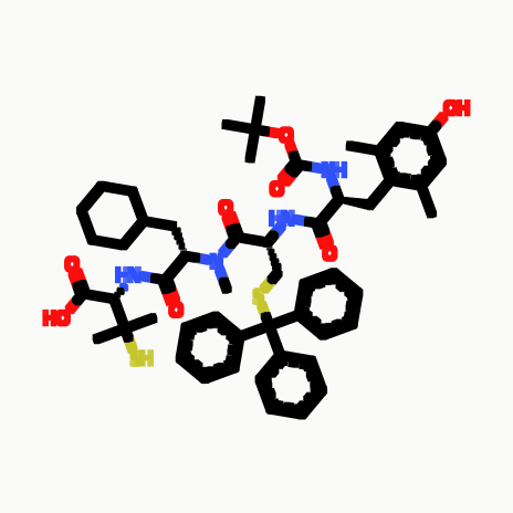 Cc1cc(O)cc(C)c1C[C@H](NC(=O)OC(C)(C)C)C(=O)N[C@H](CSC(c1ccccc1)(c1ccccc1)c1ccccc1)C(=O)N(C)[C@@H](CC1CCCCC1)C(=O)N[C@@H](C(=O)O)C(C)(C)S